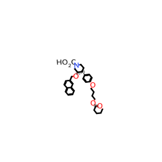 O=C(O)N1CC[C@H](c2ccc(OCCCCO[C@@H]3CCCCO3)cc2)[C@@H](OCc2ccc3ccccc3c2)C1